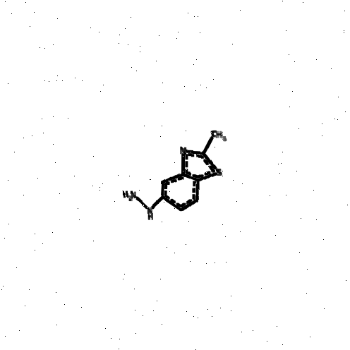 Cc1nc2cc(NN)ccc2s1